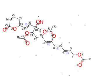 CC(=O)OC/C=C/C=C/C=C/C(CC(OC(C)=O)C(C)(O)/C=C/C1CC=CC(=O)O1)OC(C)=O